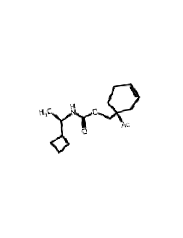 CC(=O)C1(COC(=O)NC(C)C2CCC2)CC=CCC1